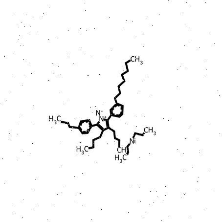 CCCCCCCCc1cccc(C2=C(CCCC)C(CCCC)=C(c3ccc(CCCC)cc3)[N+]2=[N-])c1.CC[CH2][Ni][CH2]CC